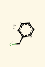 ClCc1ccccc1.[Zr]